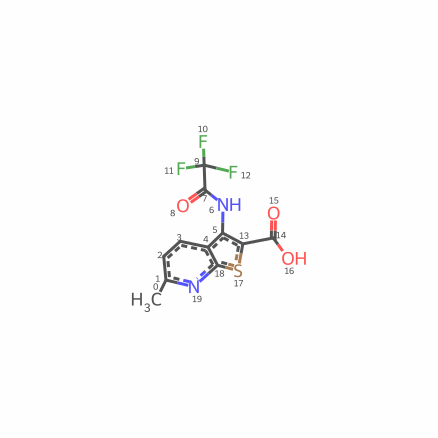 Cc1ccc2c(NC(=O)C(F)(F)F)c(C(=O)O)sc2n1